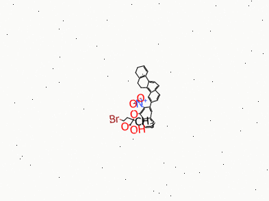 CC(CCBr)(Oc1c([N+](=O)[O-])c(-c2ccc3ccc4c(c3c2)CCC2=C4C=CCC2)cc2ccccc12)C(=O)O